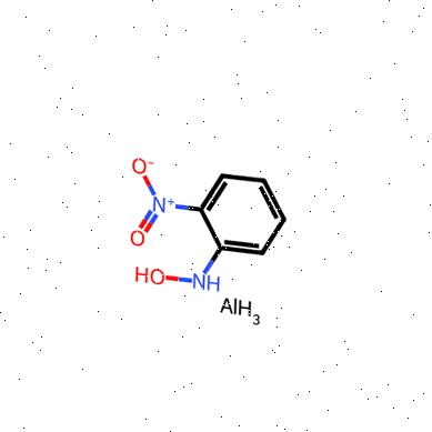 O=[N+]([O-])c1ccccc1NO.[AlH3]